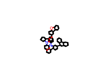 c1ccc(-c2ccc(-c3cc4ccccc4c4ccccc34)cc2N(c2ccc(-c3ccc4oc5ccccc5c4c3)cc2)c2ccccc2-n2c3ccccc3c3ccccc32)cc1